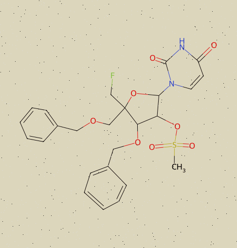 CS(=O)(=O)OC1C(n2ccc(=O)[nH]c2=O)OC(CF)(COCc2ccccc2)C1OCc1ccccc1